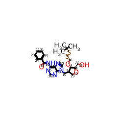 CC(C)(C)SSCOC1C(Cn2cnc3c(NC(=O)c4ccccc4)ncnc32)CO[C@@H]1CO